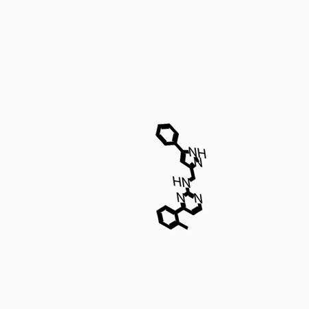 Cc1ccccc1-c1ccnc(NCc2cc(-c3ccccc3)[nH]n2)n1